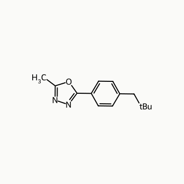 Cc1nnc(-c2ccc(CC(C)(C)C)cc2)o1